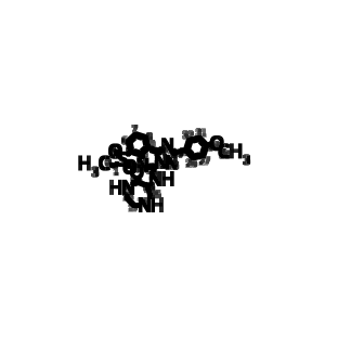 CCS(=O)(=O)c1cccc2c1nc(N[C@@H]1CNCCNC1=O)n1nc(-c3ccc(OC)cc3)nc21